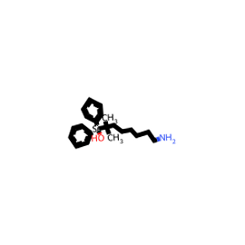 CC(C)(CCCCCCN)[Si](O)(c1ccccc1)c1ccccc1